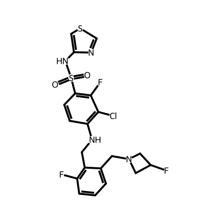 O=S(=O)(Nc1cscn1)c1ccc(NCc2c(F)cccc2CN2CC(F)C2)c(Cl)c1F